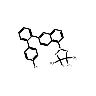 CC1(C)OB(c2cccc3cc(-c4ccccc4-c4ccc(C#N)cc4)ccc23)OC1(C)C